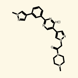 CN1CCN(C(=O)Cn2cc(-c3cnc(-c4cccc(-c5cnn(C)c5)c4)nc3)cn2)CC1.Cl